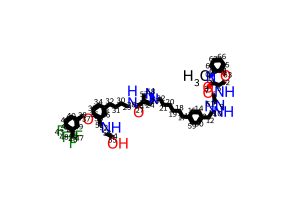 CN1C(=O)C(NC(=O)c2n[nH]c(Cc3ccc(CCCCCCn4cc(C(=O)NCCCCc5ccc(OCc6ccc(F)c(C(F)(F)F)c6)c(CNCCO)c5)cn4)cc3)n2)COc2ccccc21